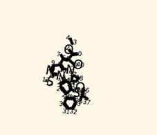 C=C(OCC)c1c(C)c2cnc(SC)nc2n(C2CC(O[Si](c3ccccc3)(c3ccccc3)C(C)(C)C)C2)c1=O